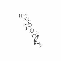 BCOc1ccc(-c2ccc(-c3ccc(C4=CCC(C)CC4)c(F)c3F)cc2)c(F)c1F